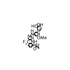 C=CC(=O)Nc1ccccc1Nc1nc(Nc2cc(OC)nc(N3CCSC(O)(O)C3)c2)ncc1C(F)(F)F